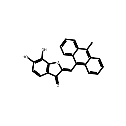 Cc1c2ccccc2c(/C=C2\Oc3c(ccc(O)c3O)C2=O)c2ccccc12